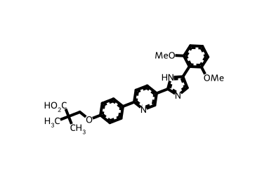 COc1cccc(OC)c1-c1cnc(-c2ccc(-c3ccc(OCC(C)(C)C(=O)O)cc3)nc2)[nH]1